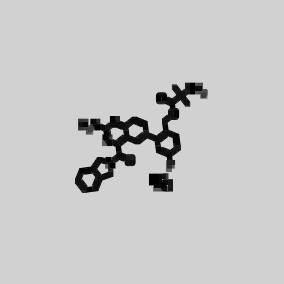 CC(C)(N)C(=O)OCc1ccc(F)cc1-c1ccc2nc(N)nc(C(=O)N3Cc4ccccc4C3)c2c1.Cl.Cl